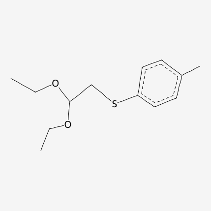 CCOC(CSc1ccc(C)cc1)OCC